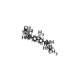 Cc1cc(-c2c[nH]c([C@@H]3CC[C@H](C)N3)n2)ccc1-c1ccc(-c2c[nH]c([C@@H]3CC[C@H](C)N3)n2)cc1